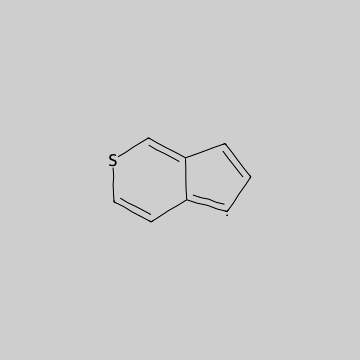 [c]1ccc2csccc1-2